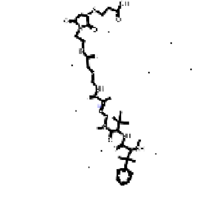 CNC(C(=O)NC(C(=O)N(C)C/C=C(\C)C(=O)NCCCC(=O)NCCN1C(=O)CC(SCCC(=O)O)C1=O)C(C)(C)C)C(C)(C)c1ccccc1